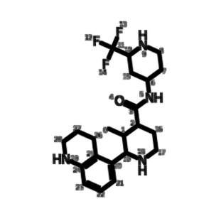 CC1C(C(=O)NC2CCNC(C(F)(F)F)C2)CCNC1c1cccc2c1CCCN2